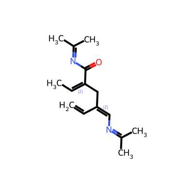 C=C/C(=C\N=C(C)C)C/C(=C/C)C(=O)N=C(C)C